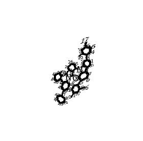 Cc1ccc(-c2ccc3c4ccc(-c5ccc(C)cc5C)cc4n(-c4cccc5c4C(=O)N(c4ccc(-c6ccccc6)cc4-c4ccccc4)C5=O)c3c2)c(C)c1